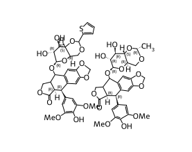 COc1cc([C@@H]2c3cc4c(cc3C(O[C@@H]3O[C@@H]5COC(c6cccs6)O[C@H]5[C@H](O)[C@H]3O)C3COC(=O)[C@@H]32)OCO4)cc(OC)c1O.COc1cc([C@@H]2c3cc4c(cc3C(O[C@@H]3O[C@@H]5CO[C@@H](C)O[C@H]5[C@H](O)[C@H]3O)C3COC(=O)[C@@H]32)OCO4)cc(OC)c1O